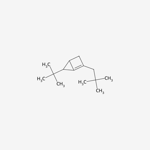 CC(C)(C)CC1=C2C(C1)C2C(C)(C)C